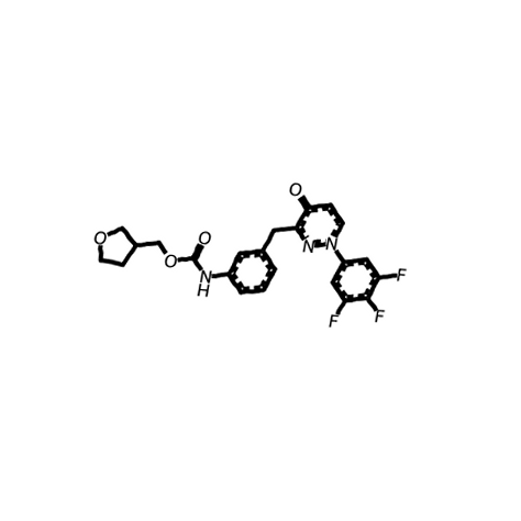 O=C(Nc1cccc(Cc2nn(-c3cc(F)c(F)c(F)c3)ccc2=O)c1)OCC1CCOC1